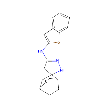 c1ccc2sc(NC3=NNC4(C3)CC3CCC4CC3)cc2c1